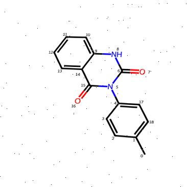 Cc1ccc(-n2c(=O)[nH]c3ccccc3c2=O)cc1